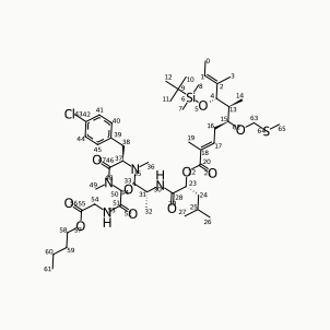 C/C=C(\C)[C@@H](O[Si](C)(C)C(C)(C)C)[C@@H](C)[C@H](C/C=C(\C)C(=O)O[C@H](CC(C)C)C(=O)N[C@H](C)C(=O)N(C)[C@H](Cc1ccc(Cl)cc1)C(=O)N(C)CC(=O)NCC(=O)OCCCC)OCSC